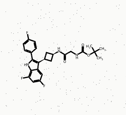 CC(C)(C)OC(=O)NCC(=O)N[C@H]1C[C@@H](c2c(-c3ccc(F)cc3)[nH]c3c(F)cc(F)cc32)C1